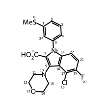 CSc1cccc(-n2c(C(=O)O)c(N3CCOCC3)c3c(Cl)c(F)ccc32)c1